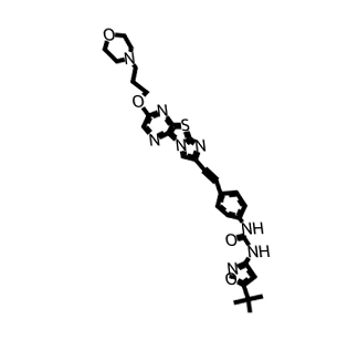 CC(C)(C)c1cc(NC(=O)Nc2ccc(C#Cc3cn4c(n3)sc3nc(OCCCN5CCOCC5)cnc34)cc2)no1